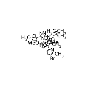 COc1cccc(OC)c1-n1c(-c2ccc(C)o2)nnc1N(CC[Si](C)(C)C)S(=O)(=O)[C@@H](C)[C@H](O)c1ccc(Br)c(C)n1